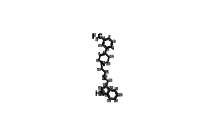 FC(F)(F)c1cccc(C2=CCN(CCSCc3c[nH]c4ccccc34)CC2)c1